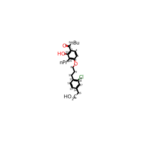 CCCCC(=O)c1ccc(OCCCc2ccc(CC(=O)O)cc2Cl)c(CCC)c1O